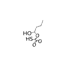 CCCC(O)OS(=O)(=O)S